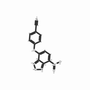 N#Cc1ccc(Oc2ccc([N+](=O)[O-])c3nonc23)cc1